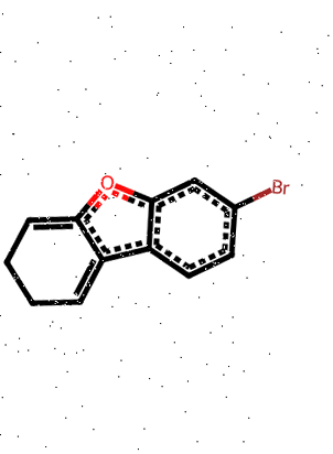 Brc1ccc2c3c(oc2c1)=CCCC=3